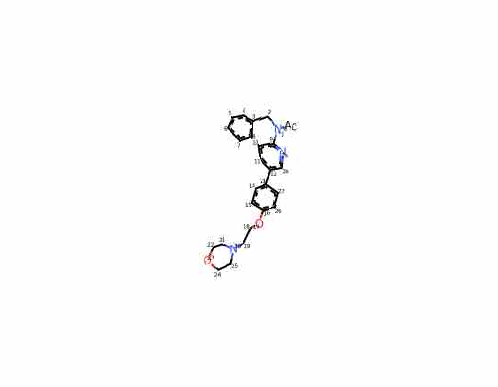 CC(=O)N(Cc1ccccc1)c1ccc(-c2ccc(OCCN3CCOCC3)cc2)cn1